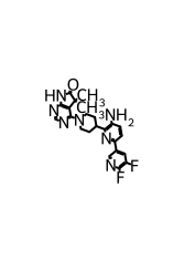 CC1(C)C(=O)Nc2ncnc(N3CCC(c4nc(-c5cnc(F)c(F)c5)ccc4N)CC3)c21